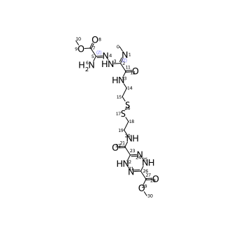 C/N=C(\N/N=C(\N)C(=O)OC)C(=O)NCCSSCCNC(=O)C1=NNC(C(=O)OC)=NN1